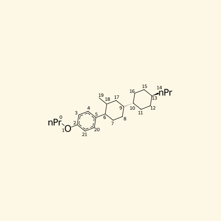 CCCOc1ccc(C2CCC([C@H]3CC[C@H](CCC)CC3)CC2C)cc1